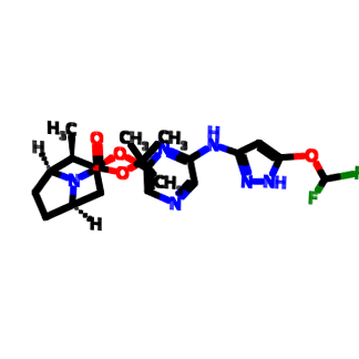 C[C@H]1[C@@H](Oc2cncc(Nc3cc(OC(F)F)[nH]n3)n2)C[C@H]2CC[C@@H]1N2C(=O)OC(C)(C)C